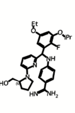 CCOc1cc(OC(C)C)c(F)c(C(Nc2ccc(C(=N)N)cc2)c2cccc(N3CCC[C@H]3CO)n2)c1